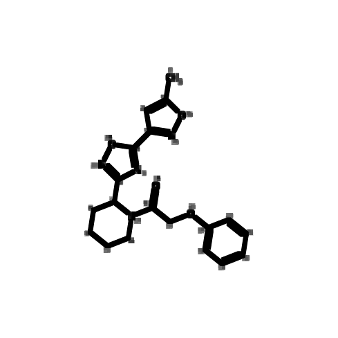 Cc1cc(-c2nc(C3CCCCN3C(=O)COc3ccccc3)no2)no1